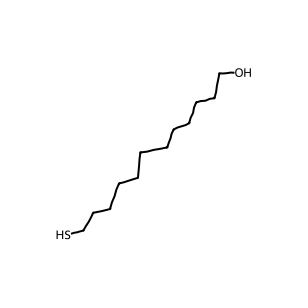 OCCCCCCCCCCCCS